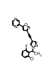 CC(c1c(F)cccc1Cl)n1cc(C#Cc2cc(-c3cnccn3)on2)cn1